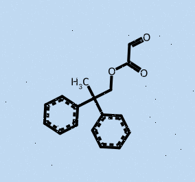 CC(COC(=O)C=O)(c1ccccc1)c1ccccc1